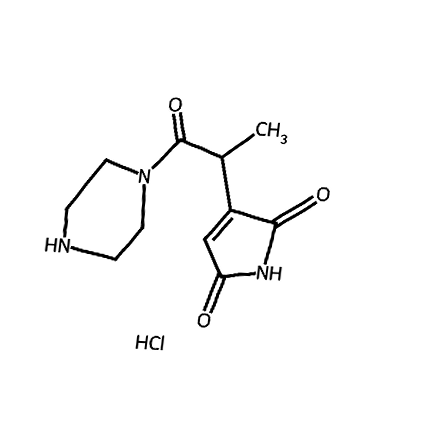 CC(C(=O)N1CCNCC1)C1=CC(=O)NC1=O.Cl